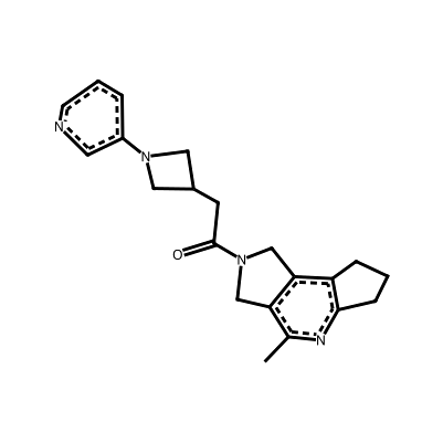 Cc1nc2c(c3c1CN(C(=O)CC1CN(c4cccnc4)C1)C3)CCC2